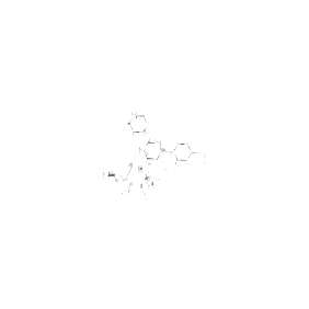 COc1ccc(-c2nc(-c3ccncc3)nc3c2CC[C@@H]2[C@@H](C)C(=O)C(C#N)=C[C@@]32C)cc1